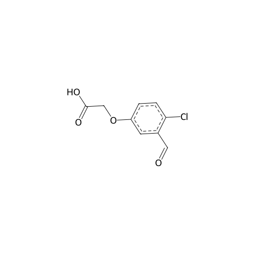 O=Cc1cc(OCC(=O)O)ccc1Cl